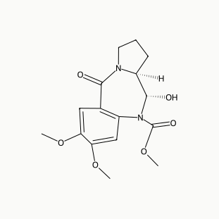 COC(=O)N1c2cc(OC)c(OC)cc2C(=O)N2CCC[C@H]2[C@@H]1O